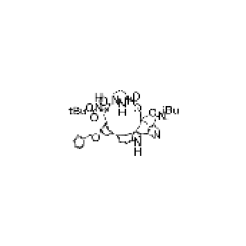 CCC(C)N(C)C(=O)c1cncc(-c2[nH]c3ccc4cc3c2CC(C)(C)COC(=O)[C@@H]2CCCN(N2)C(=O)[C@@H](NC(=O)OC(C)(C)C)Cc2cc(OCc3ccccc3)cc-4c2)c1